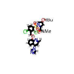 CNC(=O)C1CC(OC(C)(C)C)CN1S(=O)(=O)c1ccc(Cl)c(COc2cccc3c(-n4ccnc4)cc(C)nc23)c1Cl